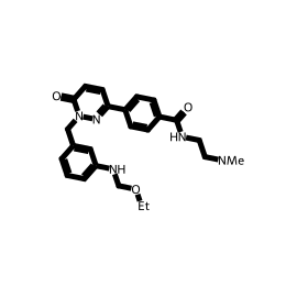 CCOCNc1cccc(Cn2nc(-c3ccc(C(=O)NCCNC)cc3)ccc2=O)c1